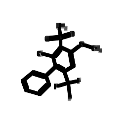 COc1cc(C(F)(F)F)c(-c2ccccc2)c(Cl)c1S(N)(=O)=O